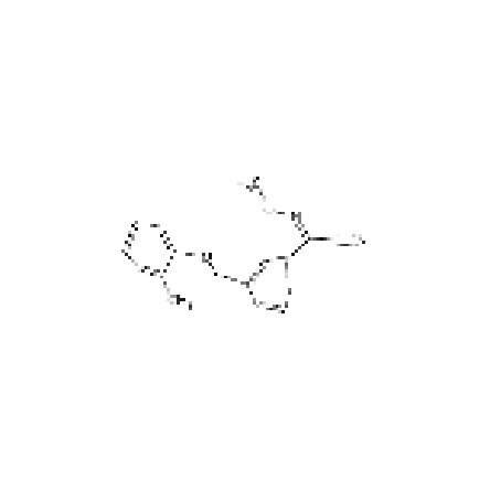 CO/N=C(/C#N)c1cccc(COc2ccccc2C)c1